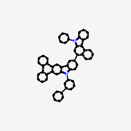 c1ccc(-c2cccc(-n3c4ccc(-c5cc6c(c7ccccc57)c5ccccc5n6-c5ccccc5)cc4c4cc5c6ccccc6c6ccccc6c5cc43)c2)cc1